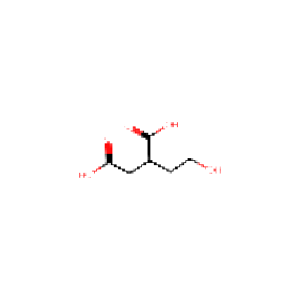 O=C(O)C[C](CCO)C(=O)O